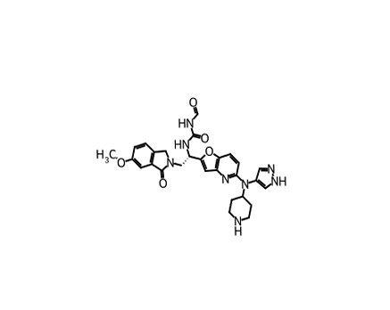 COc1ccc2c(c1)C(=O)N(C[C@H](NC(=O)NC=O)c1cc3nc(N(c4cn[nH]c4)C4CCNCC4)ccc3o1)C2